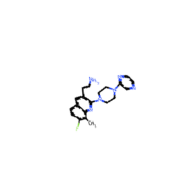 Cc1c(F)ccc2cc(CCN)c(N3CCN(c4cnccn4)CC3)nc12